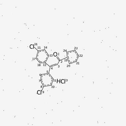 Cl.O=C(C=C(c1ccc(Cl)cc1)c1ccc(Cl)cc1)c1ccccc1